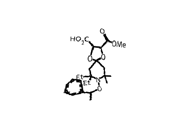 CCC1(CC)CC2(CC(C)(C)N1OC(C)c1ccccc1)OC(C(=O)O)C(C(=O)OC)O2